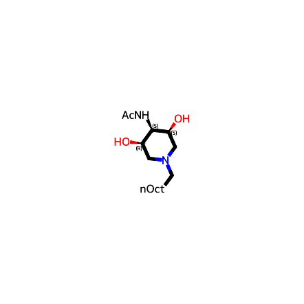 CCCCCCCCCN1C[C@@H](O)[C@@H](NC(C)=O)[C@@H](O)C1